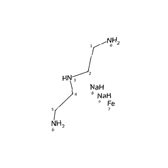 NCCNCCN.[Fe].[NaH].[NaH]